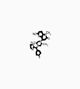 C[C@@H]1CN(c2cc(=O)n(C)c3ccc(C#N)nc23)[C@@H](C)CN1C(c1ccc(F)cc1)c1ncco1